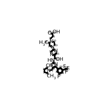 C[C@@H]1CC[C@@H](C)N1Cc1sc(NC(O)c2cnc(N3CCN(CCC(=O)O)[C@@H](C)C3)cn2)nc1-c1cc(F)cc(C(F)(F)F)c1